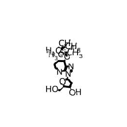 CC(C)(C)[Si](C)(C)O[C@@H]1CCC=Nc2c1ncn2[C@H]1C[C@H](O)[C@@H](CO)O1